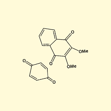 COC1=C(OC)C(=O)c2ccccc2C1=O.O=C1C=CC(=O)C=C1